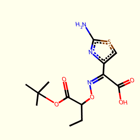 CCC(O/N=C(\C(=O)O)c1csc(N)n1)C(=O)OC(C)(C)C